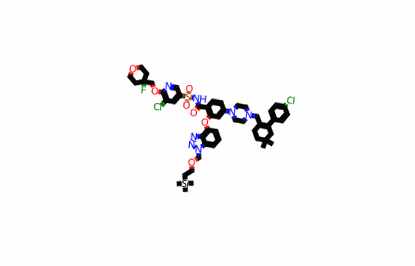 CC1(C)CCC(CN2CCN(c3ccc(C(=O)NS(=O)(=O)c4cnc(OCC5(F)CCOCC5)c(Cl)c4)c(Oc4cccc5c4nnn5COCC[Si](C)(C)C)c3)CC2)=C(c2ccc(Cl)cc2)C1